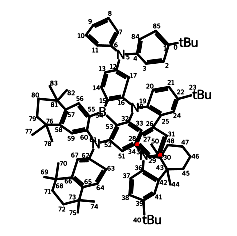 CC(C)(C)c1ccc(N(c2ccccc2)c2ccc3c(c2)N(c2ccc(C(C)(C)C)cc2-c2ccccc2)c2cc(N4c5ccc(C(C)(C)C)cc5C5(C)CCCCC45C)cc4c2B3c2cc3c(cc2N4c2ccc4c(c2)C(C)(C)CCC4(C)C)C(C)(C)CCC3(C)C)cc1